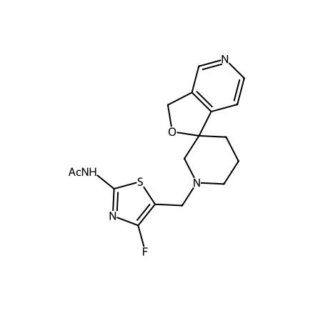 CC(=O)Nc1nc(F)c(CN2CCCC3(C2)OCc2cnccc23)s1